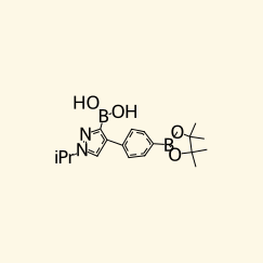 CC(C)n1cc(-c2ccc(B3OC(C)(C)C(C)(C)O3)cc2)c(B(O)O)n1